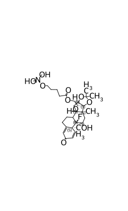 CC1(C)O[C@@H]2C[C@H]3C4CCC5=CC(=O)C=C[C@]5(C)[C@@]4(F)[C@@H](O)C[C@]3(C)[C@]2(C(=O)COC(=O)CCCCON(O)O)O1